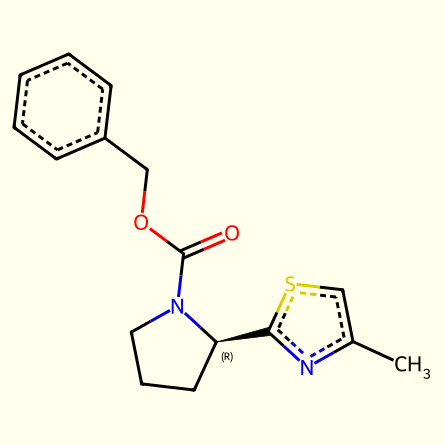 Cc1csc([C@H]2CCCN2C(=O)OCc2ccccc2)n1